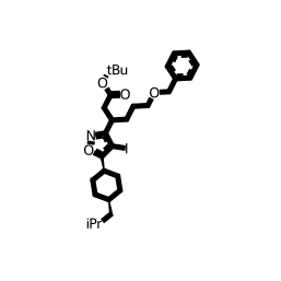 CC(C)C[C@H]1CC[C@@H](c2onc(C(CCCOCc3ccccc3)CC(=O)OC(C)(C)C)c2I)CC1